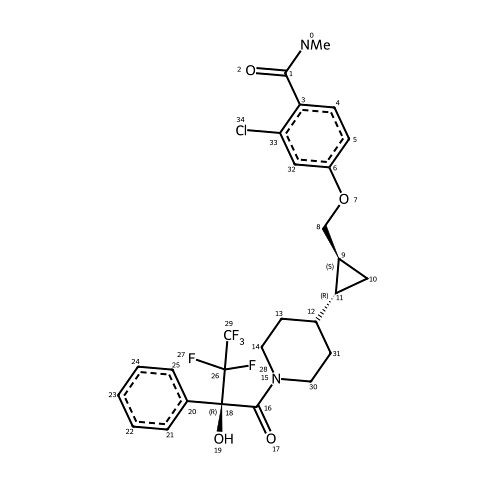 CNC(=O)c1ccc(OC[C@H]2C[C@@H]2C2CCN(C(=O)[C@](O)(c3ccccc3)C(F)(F)C(F)(F)F)CC2)cc1Cl